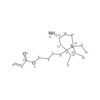 C=CC(=O)OCCCCC1(CC)CCCC[Si]1(CC)CC.N